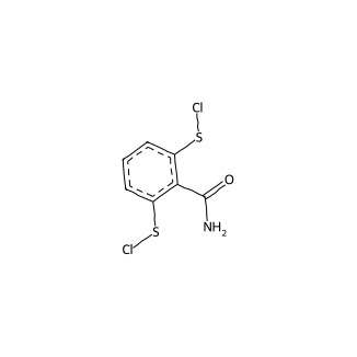 NC(=O)c1c(SCl)cccc1SCl